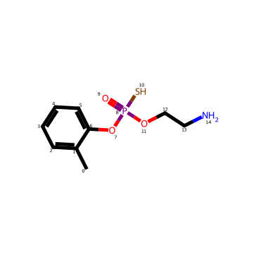 Cc1ccccc1OP(=O)(S)OCCN